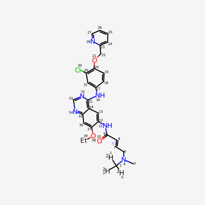 [2H]C([2H])([2H])N(C)C/C=C/C(=O)Nc1cc2c(Nc3ccc(OCc4ccccn4)c(Cl)c3)ncnc2cc1OCC